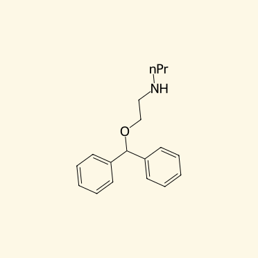 CCCNCCOC(c1ccccc1)c1ccccc1